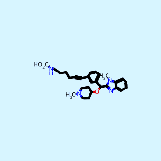 CN1CCC(OC(c2cccc(C#CCCCCNC(=O)O)c2)c2nc3ccccc3n2C)CC1